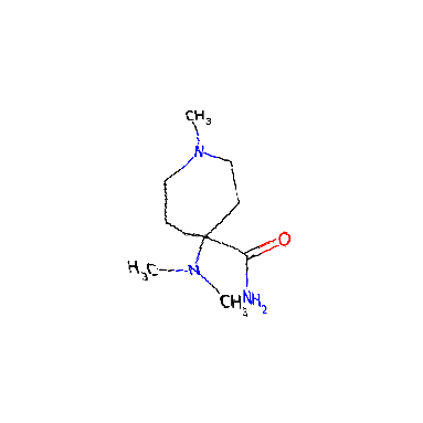 CN1CCC(C(N)=O)(N(C)C)CC1